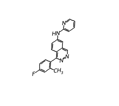 Cc1cc(F)ccc1-c1nncc2cc(Nc3ccccn3)ccc12